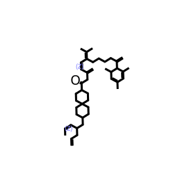 C=CCC(/C=C\C)CC1CCC2(CC1)CCC(C(=O)CC(=C)/C=C\C(CCCCC(=C)C1C(C)=CC(C)=CC1C)=C(C)C)CC2